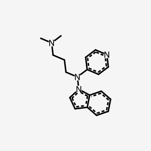 CN(C)CCCN(c1ccncc1)n1ccc2ccccc21